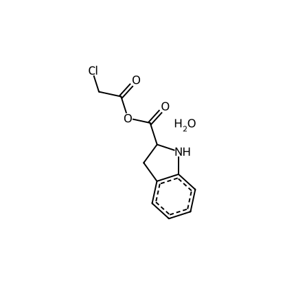 O.O=C(CCl)OC(=O)C1Cc2ccccc2N1